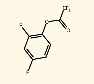 O=C(Oc1ccc(F)cc1F)C(F)(F)F